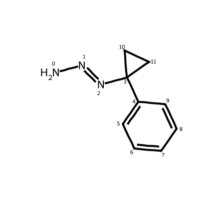 NN=NC1(c2ccccc2)CC1